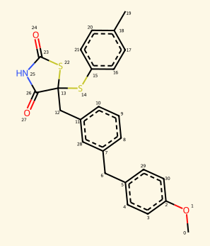 COc1ccc(Cc2cccc(CC3(Sc4ccc(C)cc4)SC(=O)NC3=O)c2)cc1